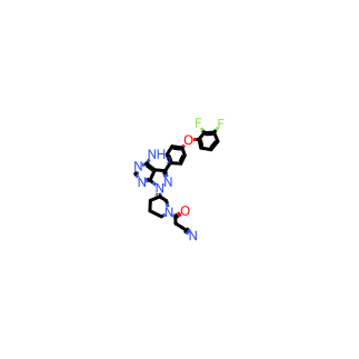 N#CCC(=O)N1CCC[C@@H](n2nc(-c3ccc(Oc4cccc(F)c4F)cc3)c3c(N)ncnc32)C1